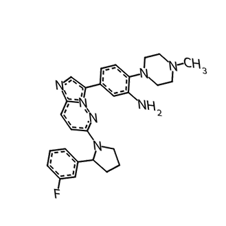 CN1CCN(c2ccc(-c3cnc4ccc(N5CCCC5c5cccc(F)c5)nn34)cc2N)CC1